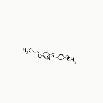 CCCCOc1ccc(SCc2ccc(OC)cc2)nc1